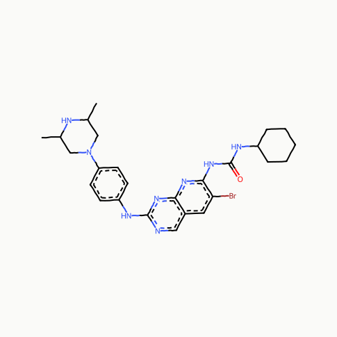 CC1CN(c2ccc(Nc3ncc4cc(Br)c(NC(=O)NC5CCCCC5)nc4n3)cc2)CC(C)N1